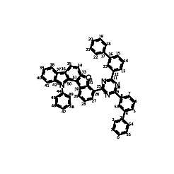 c1ccc(-c2cccc(-c3nc(-c4cccc(-c5ccccc5)c4)nc(-c4cccc5c4oc4ccc6c7ccccc7n(-c7ccccc7)c6c45)n3)c2)cc1